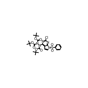 CC(C)(C)OC(=O)N(C(=O)OC(C)(C)C)N(C(=O)OC(C)(C)C)c1nc(Cl)nc2c1ccn2S(=O)(=O)c1ccccc1